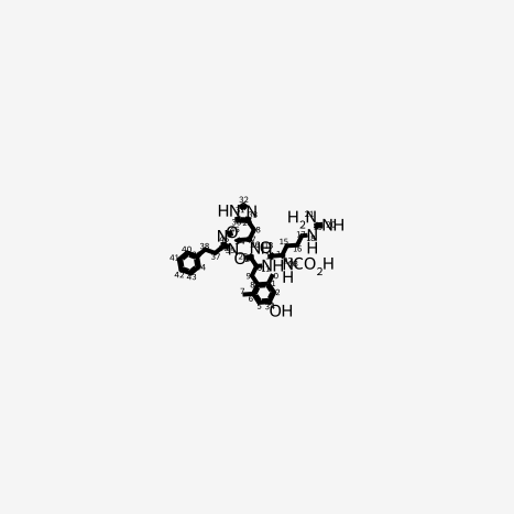 Cc1cc(O)cc(C)c1CC(NC(=O)C(CCCNC(=N)N)NC(=O)O)C(=O)NC(Cc1c[nH]cn1)c1nc(CCc2ccccc2)no1